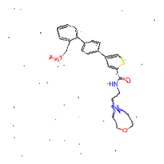 O=C(NCCN1CCOCC1)c1cc(-c2ccc(-c3ccccc3CO)cc2)cs1